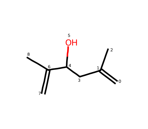 C=C(C)CC(O)C(=C)C